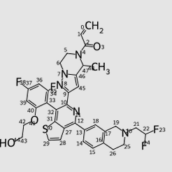 C=CC(=O)N1CCn2nc(-c3nc(-c4ccc5c(c4)CN(CC(F)F)CC5)c4ccsc4c3-c3c(F)cc(F)cc3OCCO)cc2C1C